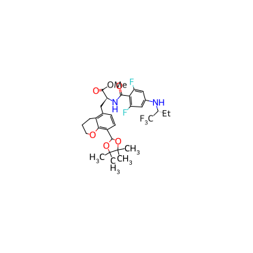 CC[C@@H](Nc1cc(F)c(C(=O)N[C@@H](Cc2ccc(C3OC(C)(C)C(C)(C)O3)c3c2CCCO3)C(=O)OC)c(F)c1)C(F)(F)F